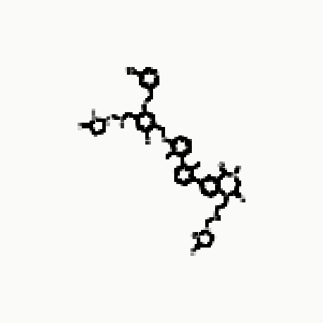 Cc1c(OCc2cc(OCc3cncc(C#N)c3)c(CNC[C@@H]3CCC(=O)N3)cc2Cl)cccc1-c1cccc(-c2ccc3c(c2)C(=O)N(C)CC(=O)N3CCNC[C@H]2CCC(=O)N2)c1C